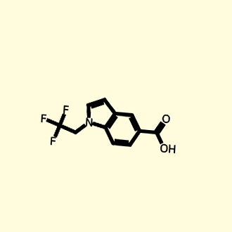 O=C(O)c1ccc2c(ccn2CC(F)(F)F)c1